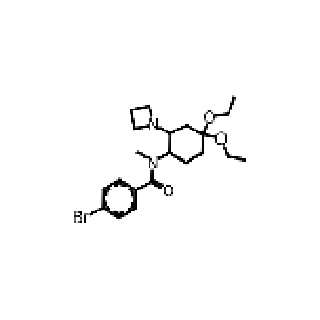 CCOC1(OCC)CCC(N(C)C(=O)c2ccc(Br)cc2)C(N2CCC2)C1